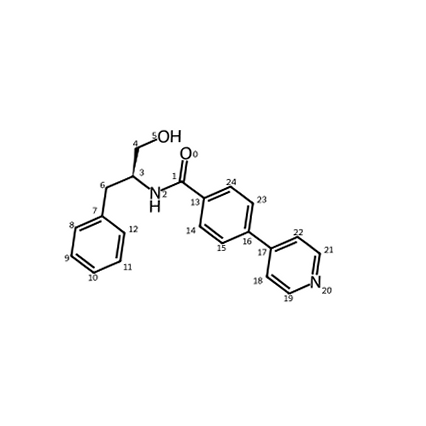 O=C(N[C@H](CO)Cc1ccccc1)c1ccc(-c2ccncc2)cc1